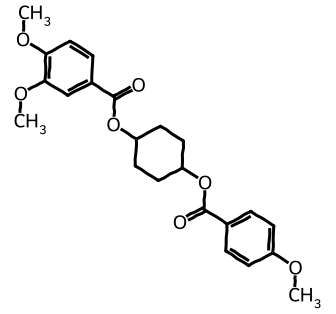 COc1ccc(C(=O)OC2CCC(OC(=O)c3ccc(OC)c(OC)c3)CC2)cc1